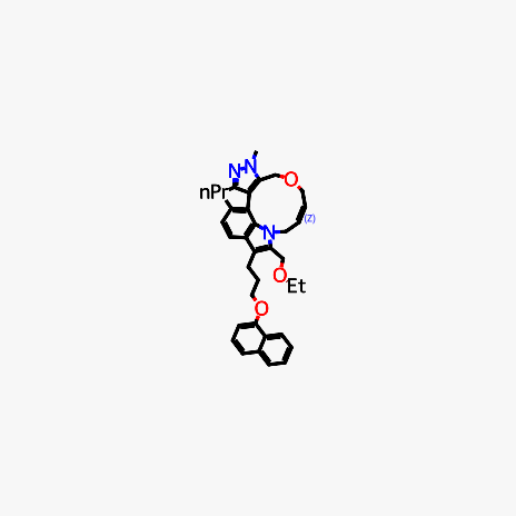 CCCc1nn(C)c2c1-c1c(C)ccc3c(CCCOc4cccc5ccccc45)c(COCC)n(c13)C/C=C\COC2